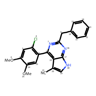 COc1cc(Cl)c(-c2nc(Cc3ccccc3)nc3[nH]cc(C#N)c23)cc1OC